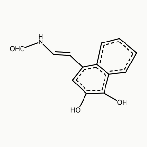 O=CNC=Cc1cc(O)c(O)c2ccccc12